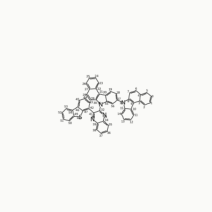 c1ccc2c(c1)ccc1c2c2ccccc2n1-c1ccc2c3c4ccccc4ccc3n(-c3nc4ccccc4nc3-c3cccc4c3sc3ccccc34)c2c1